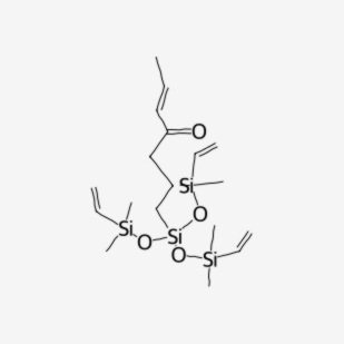 C=C[Si](C)(C)O[Si](CCCC(=O)C=CC)(O[Si](C)(C)C=C)O[Si](C)(C)C=C